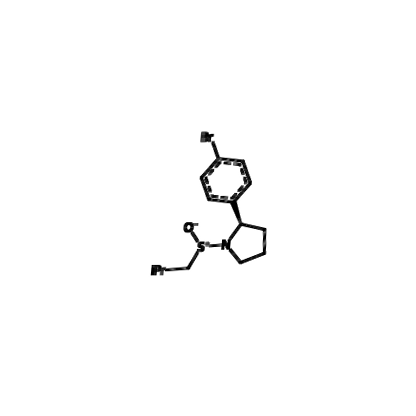 CC(C)C[S+]([O-])N1CCC[C@@H]1c1ccc(Br)cc1